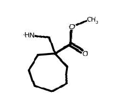 COC(=O)C1(C[NH])CCCCCC1